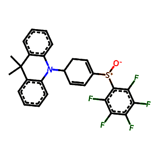 CC1(C)c2ccccc2N(C2C=CC([S+]([O-])c3c(F)c(F)c(F)c(F)c3F)=CC2)c2ccccc21